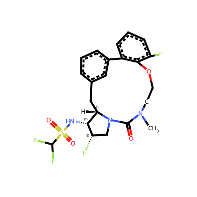 CN1CCOc2c(F)cccc2-c2cccc(c2)C[C@H]2[C@@H](NS(=O)(=O)C(F)F)[C@@H](F)CN2C1=O